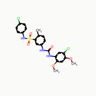 COc1cc(OC)c(NC(=O)Nc2ccc(C)c(S(=O)(=O)Nc3ccc(Cl)cc3)c2)cc1Cl